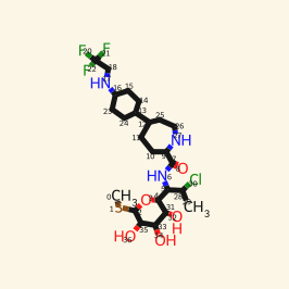 CSC1OC(C(NC(=O)C2CCC(C3CCC(NCC(F)(F)F)CC3)CCN2)C(C)Cl)C(O)C(O)C1O